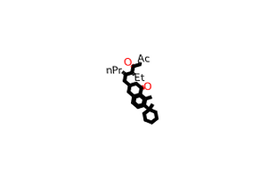 CCCC(CC1CC(=O)c2c(ccc(C3(C)CCCCC3)c2C)C1)C(CC)C(=O)CC(C)=O